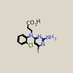 Nc1nc(I)cc(N(CCC(=O)O)c2ccccc2Cl)n1